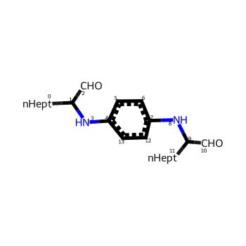 CCCCCCCC(C=O)Nc1ccc(NC(C=O)CCCCCCC)cc1